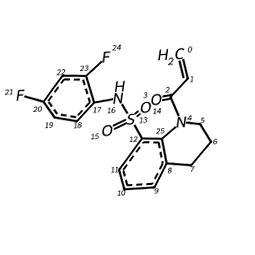 C=CC(=O)N1CCCc2cccc(S(=O)(=O)Nc3ccc(F)cc3F)c21